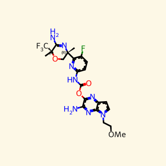 COCCn1ccc2nc(OC(=O)Nc3ccc(F)c([C@]4(C)CO[C@@](C)(C(F)(F)F)C(N)=N4)n3)c(N)nc21